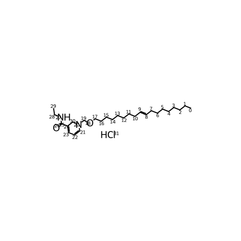 CCCCCCCCC=CCCCCCCCCOCN1C=CC=C(C(=O)NCC)C1.Cl